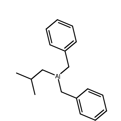 CC(C)[CH2][Al]([CH2]c1ccccc1)[CH2]c1ccccc1